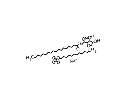 CCCCCCCCCCCCCCCCCC(=O)OC[C@@H](O)[C@H]1OC[C@H](O)[C@H]1O.CCCCCCCCCCCCOS(=O)(=O)[O-].[Na+]